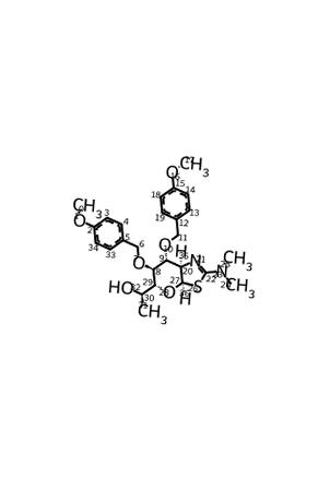 COc1ccc(CO[C@H]2[C@H](OCc3ccc(OC)cc3)[C@H]3N=C(N(C)C)S[C@H]3O[C@@H]2[C@@H](C)O)cc1